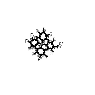 Fc1c(F)c(F)[c]([Ga-]([c]2c(F)c(F)c(F)c(F)c2F)([c]2c(F)c(F)c(F)c(F)c2F)[c]2c(F)c(F)c(F)c(F)c2F)c(F)c1F.[K+]